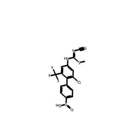 CS/C(=N\C#N)Nc1cc(Cl)c(-c2ccc(S(=O)O)cc2)c(C(F)(F)F)c1